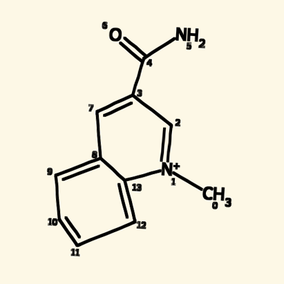 C[n+]1cc(C(N)=O)cc2ccccc21